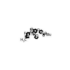 Cc1cn2cc(Nc3nn(C4CCCCO4)c4cc(OC5CCN(C(=O)OC(C)(C)C)CC5)cc(Cl)c34)cc(F)c2n1